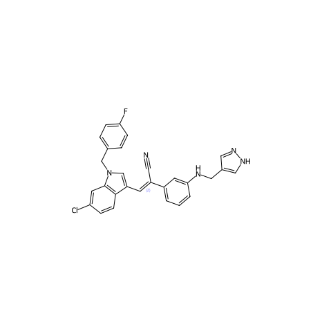 N#C/C(=C\c1cn(Cc2ccc(F)cc2)c2cc(Cl)ccc12)c1cccc(NCc2cn[nH]c2)c1